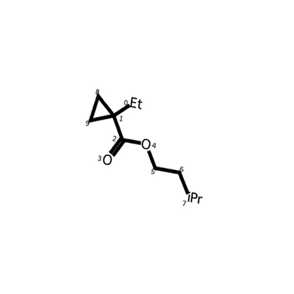 CCC1(C(=O)OCCC(C)C)CC1